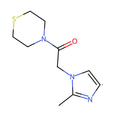 Cc1n[c]cn1CC(=O)N1CCSCC1